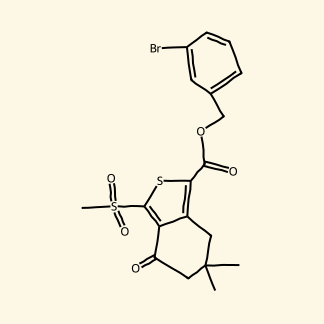 CC1(C)CC(=O)c2c(S(C)(=O)=O)sc(C(=O)OCc3cccc(Br)c3)c2C1